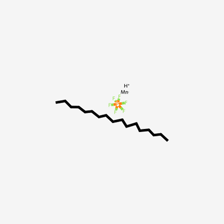 CCCCCCCCCCCCCCCCC.F[P-](F)(F)(F)(F)F.[H+].[Mn]